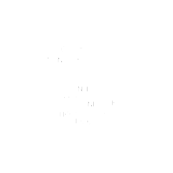 CC(O)C(NC(=O)C(F)(F)C(F)(F)F)C(=O)Nc1ccc([N+](=O)[O-])c(C(F)(F)F)c1